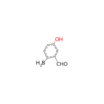 Bc1ccc(O)cc1C=O